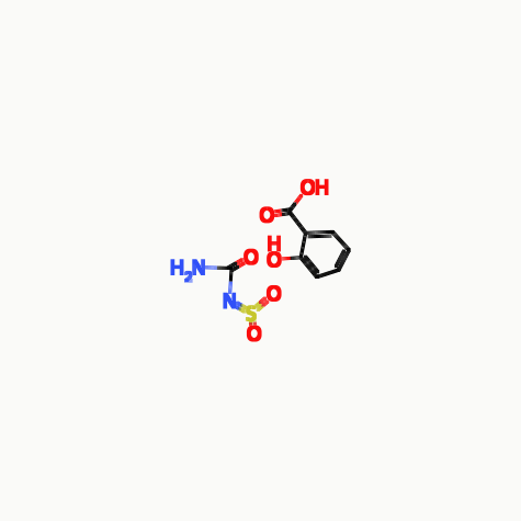 NC(=O)N=S(=O)=O.O=C(O)c1ccccc1O